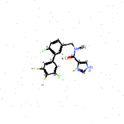 CC(C)N(Cc1ccc(F)c(-c2cc(F)c(F)c(F)c2)c1)C(=O)c1c[nH]cn1